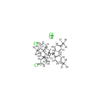 CCC1=[C]([Zr+2](=[CH]c2ccc(Cl)cc2)(=[CH]c2ccc(Cl)cc2)[CH]2c3ccc(C(C)(C)C)cc3-c3cc(C(C)(C)C)ccc32)C(CC)C=C1C(C)(C)C.[Cl-].[Cl-]